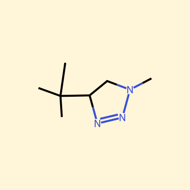 CN1CC(C(C)(C)C)N=N1